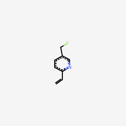 C=Cc1ccc(CF)cn1